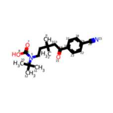 CC(C)(CCN(C(=O)O)C(C)(C)C)CC(=O)c1ccc(C#N)cc1